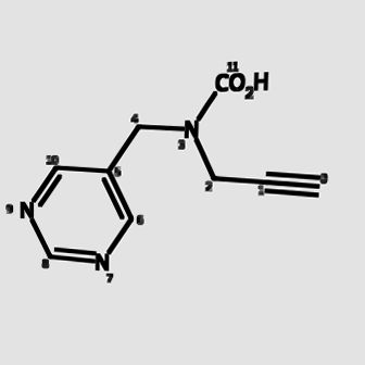 C#CCN(Cc1cncnc1)C(=O)O